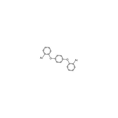 CC(=O)c1ccccc1Oc1ccc(Oc2ccccc2C(C)=O)cc1